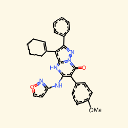 COc1ccc(-c2c(Nc3ccon3)[nH]c3c(C4=CCCCC4)c(-c4ccccc4)nn3c2=O)cc1